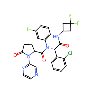 O=C(NC1CC(F)(F)C1)[C@H](c1ccccc1Cl)N(C(=O)C1CCC(=O)N1c1cnccn1)c1cccc(F)c1